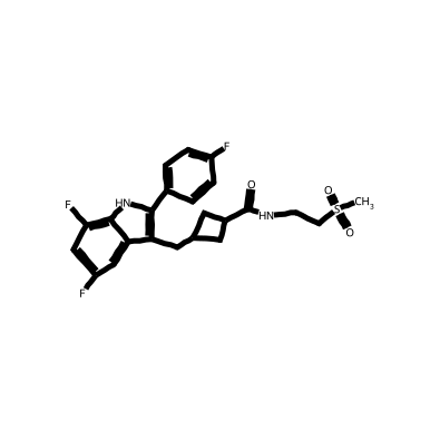 CS(=O)(=O)CCNC(=O)C1CC(Cc2c(-c3ccc(F)cc3)[nH]c3c(F)cc(F)cc23)C1